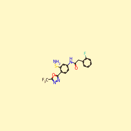 NSc1cc(NC(=O)Cc2ccccc2F)ccc1-c1nnc(C(F)(F)F)o1